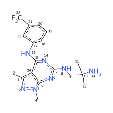 Cc1nn(C)c2nc(NCC(C)(C)N)nc(Nc3cccc(C(F)(F)F)c3)c12